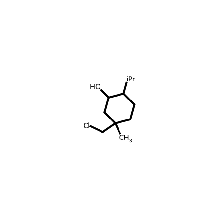 CC(C)C1CCC(C)(CCl)CC1O